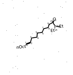 CCCCCCCCC=CCCCCCCCC(=O)P(CC)CC